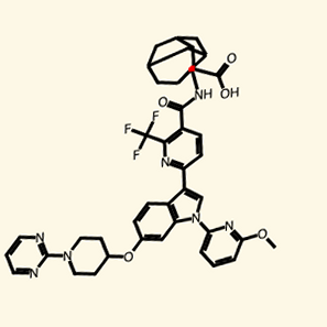 COc1cccc(-n2cc(-c3ccc(C(=O)NC4(C(=O)O)C5CCC6CC(C5)CC4C6)c(C(F)(F)F)n3)c3ccc(OC4CCN(c5ncccn5)CC4)cc32)n1